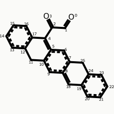 O=CC(=O)C1=c2cc3c(cc2Cc2ccccc21)=Cc1ccccc1C3